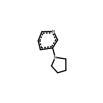 [c]1cncc(N2CCCC2)c1